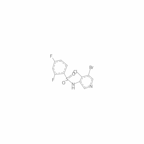 O=S(=O)(Nc1cncc(Br)c1Cl)c1ccc(F)cc1F